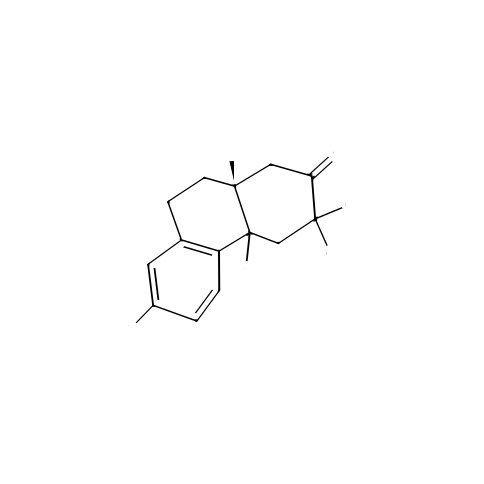 CCC12CC(C)(O)C(=O)C[C@H]1CCc1cc(O)ccc12